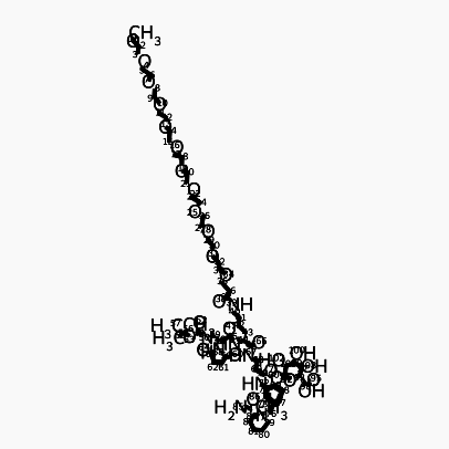 COCCOCCOCCOCCOCCOCCOCCOCCOCCOCCOCCOCCC(=O)NCCCC[C@H](NC(=O)[C@H](CNC(=O)OC(C)(C)C)N1C(=O)C=CC1=O)C(=O)NCCC(=O)Nc1cc(C[N+]2(C)CCCC[C@@H]2C(N)=O)ccc1O[C@@H]1O[C@H](C(=O)O)[C@@H](O)[C@H](O)[C@H]1O